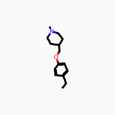 CCc1ccc(OCC2CCN(C)CC2)cc1